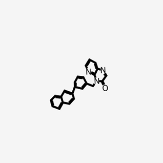 O=c1cnc2cccnc2n1Cc1cccc(-c2ccc3ccccc3c2)c1